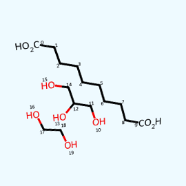 O=C(O)CCCCCCCCC(=O)O.OCC(O)CO.OCCO